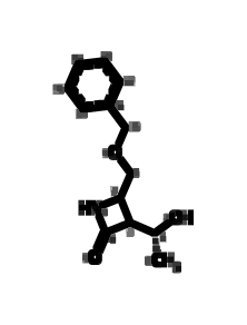 C[C@@H](O)C1C(=O)NC1COCc1ccccc1